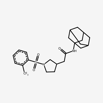 O=C(CC1CCN(S(=O)(=O)c2ccccc2C(F)(F)F)C1)NC12CC3CC(CC(C3)C1)C2